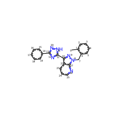 Cc1ccccc1Cn1nc(-c2nc(-c3ccccc3)n[nH]2)c2cccnc21